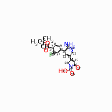 CC(C)(C)OC(=O)c1ccc(-c2cc(C3=CC(=O)N(C(=O)O)C3)cnc2N)cc1F